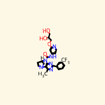 Cc1nc(-c2cccc(C(F)(F)F)c2)nc2c1N1CC[C@@H](C1)N2C(=O)Nc1ccnc(OC[C@@H](O)CO)c1